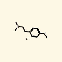 CSc1cc[n+](CCN(C)C)cc1.[Cl-]